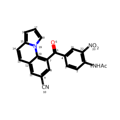 CC(=O)Nc1ccc(C(=O)c2cc(C#N)cc3ccc4cccn4c23)cc1[N+](=O)[O-]